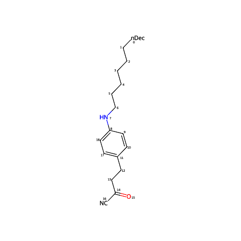 CCCCCCCCCCCCCCCCNc1ccc(CCC(=O)C#N)cc1